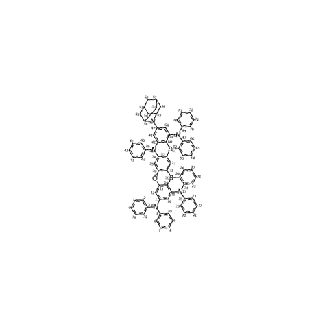 c1ccc(N(c2ccccc2)c2cc3c4c(c2)N(c2ccccc2)c2ccccc2B4c2cc4c(cc2O3)N(c2ccccc2)c2cc(N3C5CC6CC(C5)CC3C6)cc3c2B4c2ccccc2N3c2ccccc2)cc1